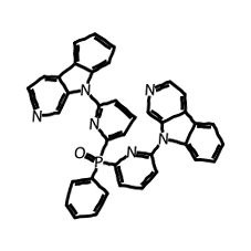 O=P(c1ccccc1)(c1cccc(-n2c3ccccc3c3ccncc32)n1)c1cccc(-n2c3ccccc3c3ccncc32)n1